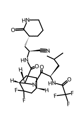 CC(C)C[C@@H](NC(=O)C(F)(F)F)C(=O)N1[C@@H]2CC[C@H]([C@@H]1C(=O)N[C@H](C#N)C[C@H]1CCCNC1=O)C(F)(F)C2